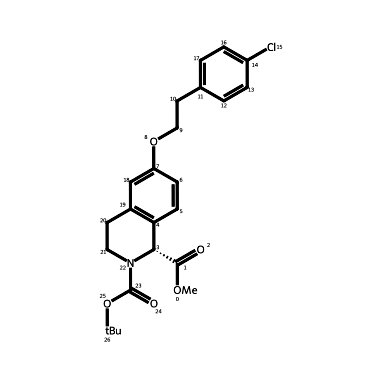 COC(=O)[C@H]1c2ccc(OCCc3ccc(Cl)cc3)cc2CCN1C(=O)OC(C)(C)C